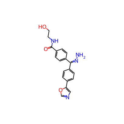 N/N=C(\c1ccc(C(=O)NCCO)cc1)c1ccc(-c2cnco2)cc1